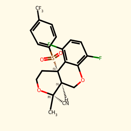 C[C@@]1(C#N)OCC[C@@]2(S(=O)(=O)c3ccc(C(F)(F)F)cc3)c3c(F)ccc(F)c3OC[C@@H]12